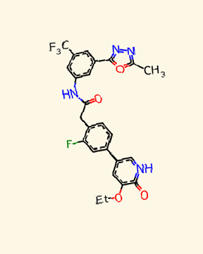 CCOc1cc(-c2ccc(CC(=O)Nc3cc(-c4nnc(C)o4)cc(C(F)(F)F)c3)c(F)c2)c[nH]c1=O